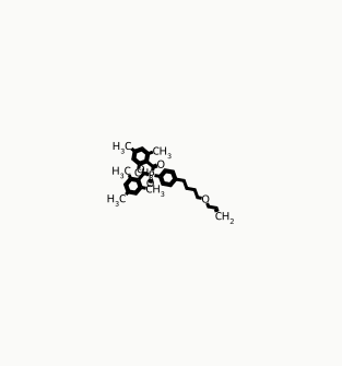 C=CCOCCCCc1ccc(P(=O)(C(=O)c2c(C)cc(C)cc2C)C(=O)c2c(C)cc(C)cc2C)cc1